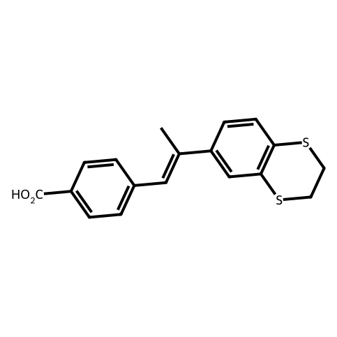 CC(=Cc1ccc(C(=O)O)cc1)c1ccc2c(c1)SCCS2